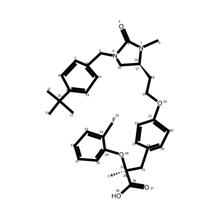 CN1C(=O)N(Cc2ccc(C(C)(C)C)cc2)C[C@@H]1CCOc1ccc(C[C@](C)(Oc2ccccc2F)C(=O)O)cc1